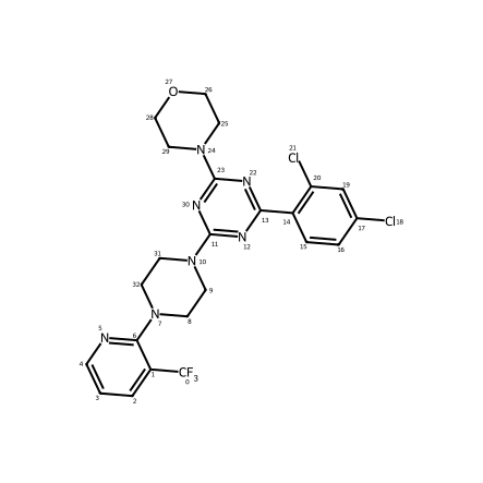 FC(F)(F)c1cccnc1N1CCN(c2nc(-c3ccc(Cl)cc3Cl)nc(N3CCOCC3)n2)CC1